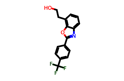 OCCc1cccc2nc(-c3ccc(C(F)(F)F)cc3)oc12